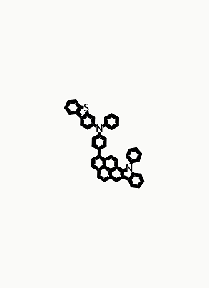 c1ccc(N(c2ccc(-c3ccc4ccc5cc6c7ccccc7n(-c7ccccc7)c6c6ccc3c4c56)cc2)c2ccc3c(c2)sc2ccccc23)cc1